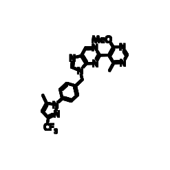 COc1ncnc(C)c1-c1ncc2ncn(Cc3ccc(-n4nc(C(F)(F)F)cc4C)cc3)c2n1